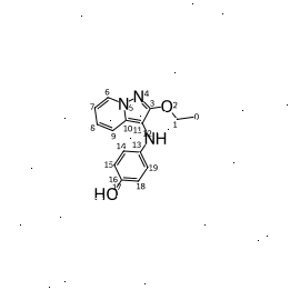 CCOc1nn2ccccc2c1Nc1ccc(O)cc1